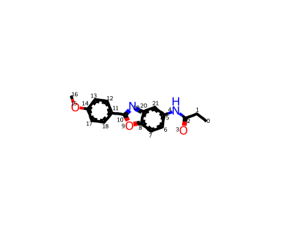 CCC(=O)Nc1ccc2oc(-c3ccc(OC)cc3)nc2c1